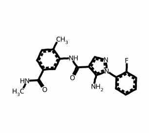 CNC(=O)c1ccc(C)c(NC(=O)c2cnn(-c3ccccc3F)c2N)c1